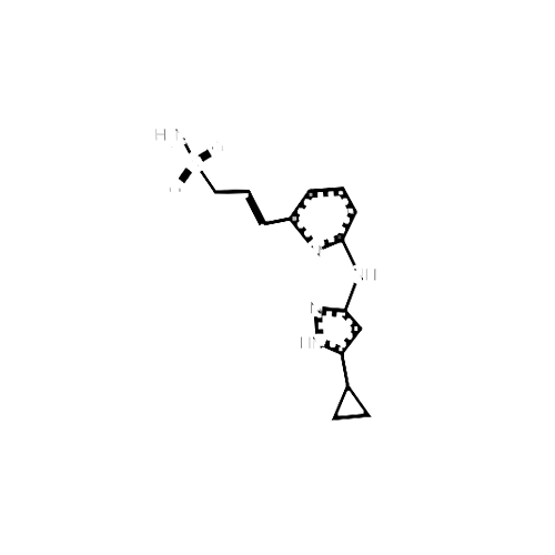 NS(=O)(=O)CC=Cc1cccc(Nc2cc(C3CC3)[nH]n2)n1